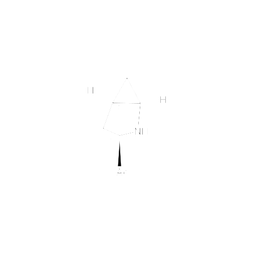 CC(=O)[C@H]1C[C@H]2C[C@H]2N1